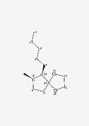 CCCCC[C@@H]1[C@H](C)CCC12OCCO2